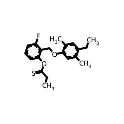 CCC(=S)Oc1cccc(F)c1COc1cc(C)c(CC)cc1C